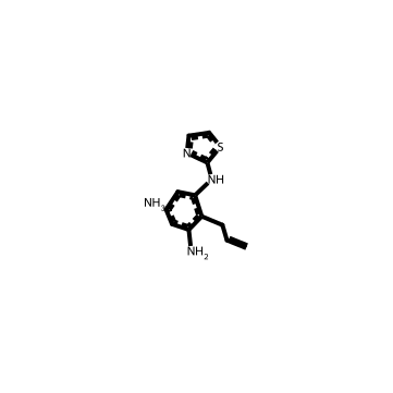 C=CCc1c(N)cccc1Nc1nccs1.N